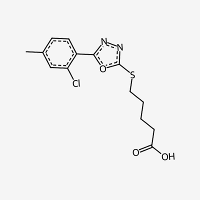 Cc1ccc(-c2nnc(SCCCCC(=O)O)o2)c(Cl)c1